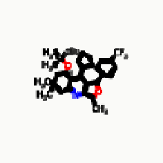 CC1OC(c2ccc(C(F)(F)F)cc2)c2c1nc1c(c2C2CCCC2)[C@@H](O[Si](C)(C)C(C)(C)C)CC(C)(C)C1